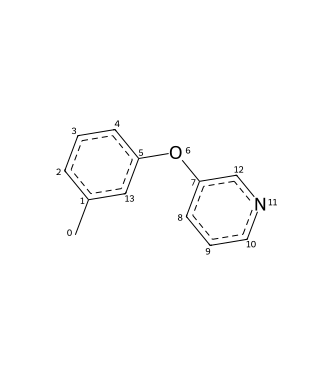 Cc1cccc(Oc2cccnc2)c1